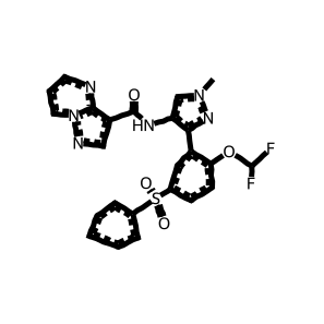 Cn1cc(NC(=O)c2cnn3cccnc23)c(-c2cc(S(=O)(=O)c3ccccc3)ccc2OC(F)F)n1